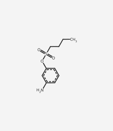 CCCCS(=O)(=O)Oc1cccc(N)c1